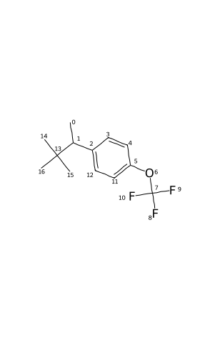 CC(c1ccc(OC(F)(F)F)cc1)C(C)(C)C